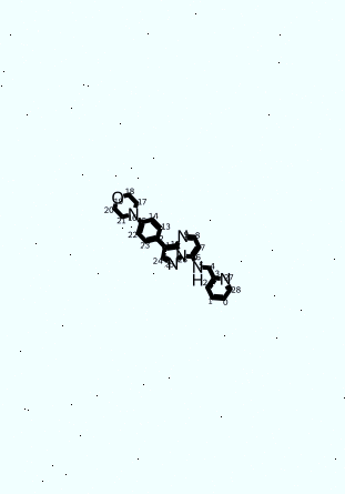 c1ccc(CNc2ccnc3c(-c4ccc(N5CCOCC5)cc4)cnn23)nc1